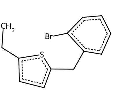 CCc1ccc(Cc2ccccc2Br)s1